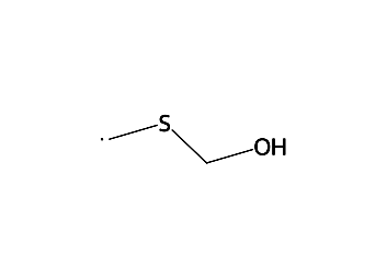 [CH2]SCO